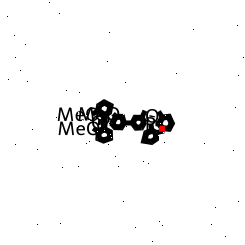 COc1ccccc1P(=O)(c1ccccc1OC)c1ccc(-c2ccc(P(=O)(c3ccccc3C)c3ccccc3C)c(C)c2)cc1OC